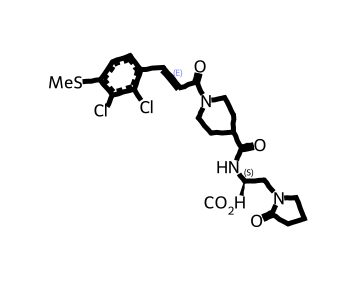 CSc1ccc(/C=C/C(=O)N2CCC(C(=O)N[C@@H](CN3CCCC3=O)C(=O)O)CC2)c(Cl)c1Cl